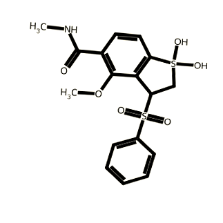 CNC(=O)c1ccc2c(c1OC)C(S(=O)(=O)c1ccccc1)CS2(O)O